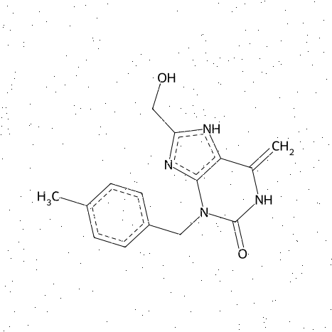 C=C1NC(=O)N(Cc2ccc(C)cc2)c2nc(CO)[nH]c21